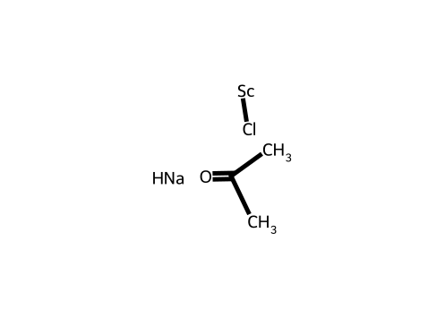 CC(C)=O.[Cl][Sc].[NaH]